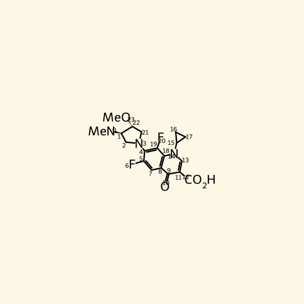 CN[C@@H]1CN(c2c(F)cc3c(=O)c(C(=O)O)cn(C4CC4)c3c2F)C[C@H]1OC